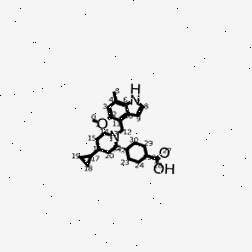 COc1cc(C)c2[nH]ccc2c1CN1CCC(C2CC2)C[C@H]1C1CCC(C(=O)O)CC1